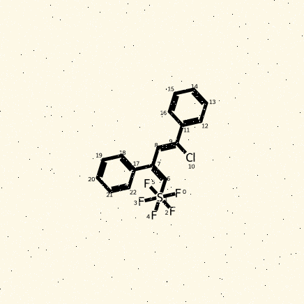 FS(F)(F)(F)(F)C=C(C=C(Cl)c1ccccc1)c1ccccc1